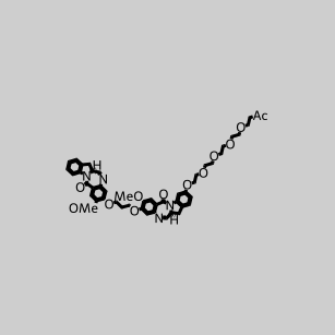 COc1cc2c(cc1OCCCOc1cc3c(cc1OC)C(=O)N1c4cc(OCCOCCOCCOCCOCCC(C)=O)ccc4C[C@H]1C=N3)N=C[C@@H]1Cc3ccccc3N1C2=O